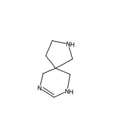 C1=NCC2(CCNC2)CN1